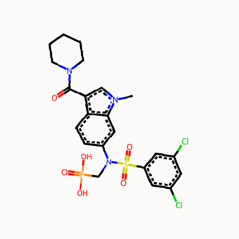 Cn1cc(C(=O)N2CCCCC2)c2ccc(N(CP(=O)(O)O)S(=O)(=O)c3cc(Cl)cc(Cl)c3)cc21